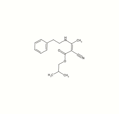 CC(NCCc1ccccc1)=C(C#N)C(=O)OCC(C)C